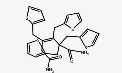 NC(=O)CC(Cc1cccs1)=C(Cc1cccs1)C(Cc1cccs1)(Cc1cccs1)C(N)=O